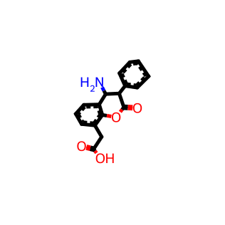 NC1c2cccc(CC(=O)O)c2OC(=O)C1c1ccccc1